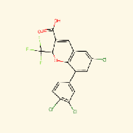 O=C(O)C1=Cc2cc(Cl)cc(-c3ccc(Cl)c(Cl)c3)c2OC1C(F)(F)F